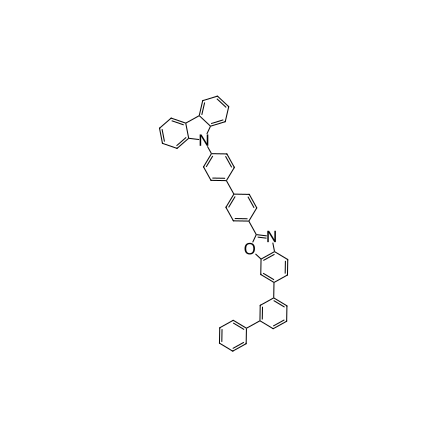 c1ccc(-c2cccc(-c3ccc4nc(-c5ccc(-c6ccc(-n7c8ccccc8c8ccccc87)cc6)cc5)oc4c3)c2)cc1